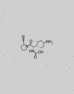 N#C[C@@H]1CCCN1C(=O)[C@@H](NC(=O)O)[C@H]1CC[C@H](N)CC1